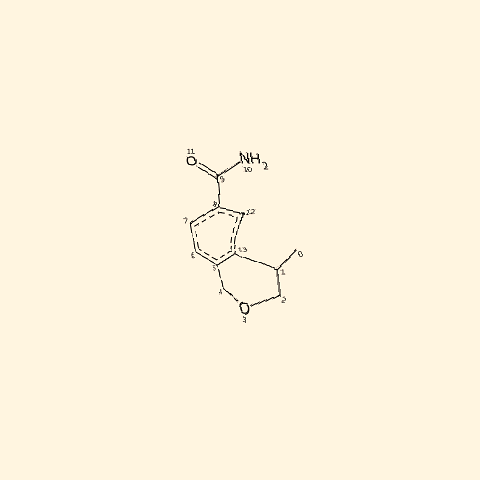 CC1COCc2ccc(C(N)=O)cc21